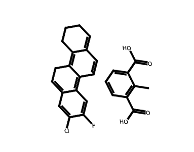 Cc1c(C(=O)O)cccc1C(=O)O.Fc1cc2c(cc1Cl)=CCc1c3c(ccc1=2)=CCCC3